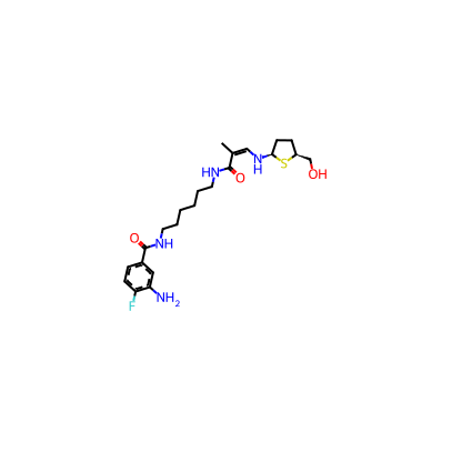 C/C(=C/N[C@H]1CC[C@@H](CO)S1)C(=O)NCCCCCCNC(=O)c1ccc(F)c(N)c1